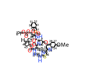 C=C[C@@H]1C[C@]1(NC(=O)[C@@H]1C[C@@H](Oc2cc(-c3csc(NC(C)C)n3)nc3cc(OC)ccc23)CN1C(=O)[C@@H](NC(=O)OC1CCCC1)C(C)(C)C)P(=O)(Cc1ccccc1)OCOC(=O)OC(C)C